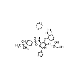 C1COCCO1.COc1ccccc1Oc1c(NS(=O)(=O)c2ccc(C(C)(C)C)cc2)nc(-c2ccsc2)nc1OC[C@@H](O)CO